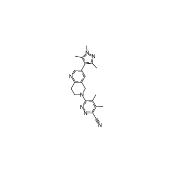 Cc1nn(C)c(C)c1-c1cnc2c(c1)CN(c1nnc(C#N)c(C)c1C)CC2